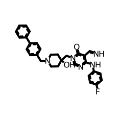 N=Cc1c(Nc2ccc(F)cc2)ncn(CC2(O)CCN(Cc3ccc(-c4ccccc4)cc3)CC2)c1=O